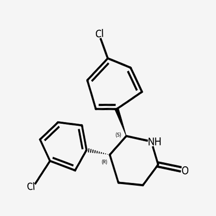 O=C1CC[C@H](c2cccc(Cl)c2)[C@@H](c2ccc(Cl)cc2)N1